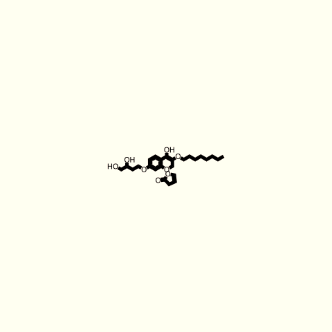 CCCCCCCCOC1=C(O)c2ccc(OCCC(O)CO)cc2OC1.O=C1CC=CO1